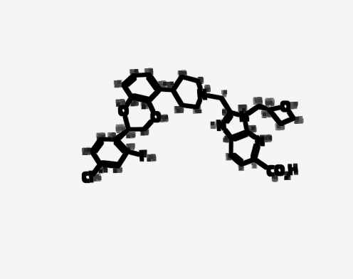 O=C(O)c1ccc2nc(CN3CCC(c4cccc5c4OC[C@@H](c4ccc(Cl)cc4F)O5)CC3)n(C[C@@H]3CCO3)c2n1